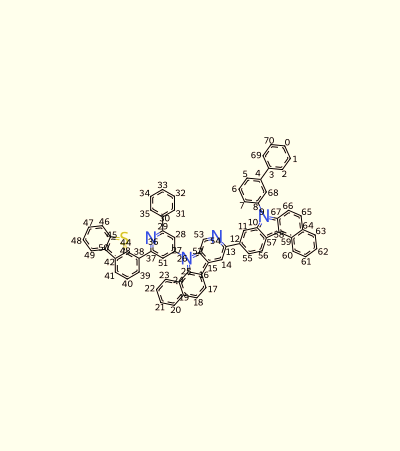 c1ccc(-c2cccc(-n3c4cc(-c5cc6c7ccc8ccccc8c7n(-c7cc(-c8ccccc8)nc(-c8cccc9c8sc8ccccc89)c7)c6cn5)ccc4c4c5ccccc5ccc43)c2)cc1